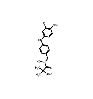 COC(C)(C)C(=O)N(O)Cc1ccc(Nc2ccc(C(C)(C)C)c(F)c2)cc1